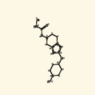 CC(C)NC(=O)ON1CCc2cc(OC3CCN(C(C)C)CC3)sc2C1